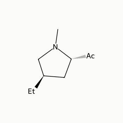 CC[C@@H]1C[C@@H](C(C)=O)N(C)C1